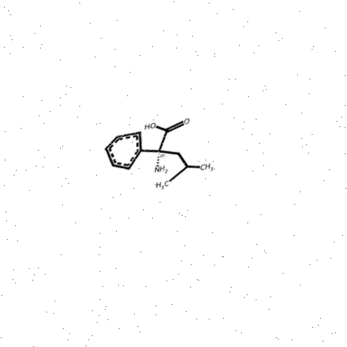 CC(C)C[C@](N)(C(=O)O)c1ccccc1